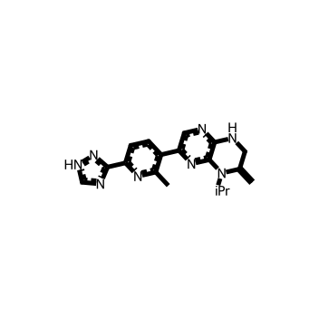 C=C1CNc2ncc(-c3ccc(-c4nc[nH]n4)nc3C)nc2N1C(C)C